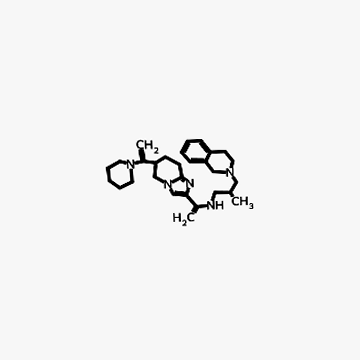 C=C(NCC(C)CN1CCc2ccccc2C1)c1cn2c(n1)CCC(C(=C)N1CCCCC1)C2